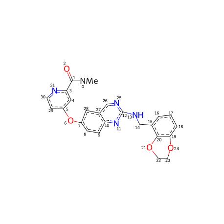 CNC(=O)c1cc(Oc2ccc3nc(NCc4cccc5c4OCCO5)ncc3c2)ccn1